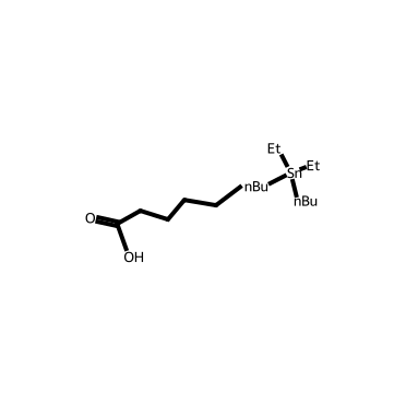 CCCCCC(=O)O.CCC[CH2][Sn]([CH2]C)([CH2]C)[CH2]CCC